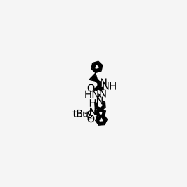 CC(C)(C)[S@@+]([O-])N[C@@H]1c2ccccc2CC12CCN(c1nc3[nH]nc(C4C[C@@H]4c4ccccc4)c3c(=O)[nH]1)CC2